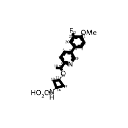 COc1ccc(-c2ccc(C(C)O[C@H]3C[C@@H](NC(=O)O)C3)nc2)cc1F